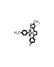 Cc1ccc(S(=O)(=O)N2C(C3=NOC(C)C3)CCC2c2ccc(F)cc2)cc1